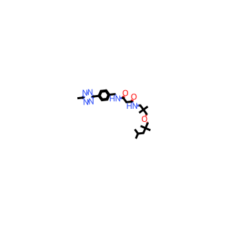 Cc1nnc(-c2ccc(CNC(=O)CC(=O)NCC(C)(C)COCC(C)(C)CC(C)C)cc2)nn1